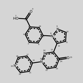 O=C(O)c1cccc(-n2nccc2-c2nn(-c3ccncc3)ccc2=O)c1